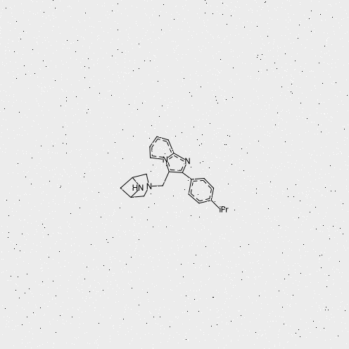 CC(C)c1ccc(-c2nc3ccccn3c2CN2CC3CC(C2)N3)cc1